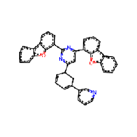 C1=CC(c2cc(-c3cccc4c3oc3ccccc34)nc(-c3cccc4c3oc3ccccc34)n2)CC(c2cccnc2)=C1